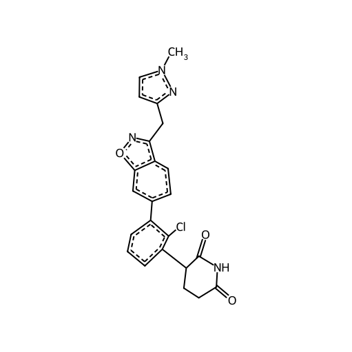 Cn1ccc(Cc2noc3cc(-c4cccc(C5CCC(=O)NC5=O)c4Cl)ccc23)n1